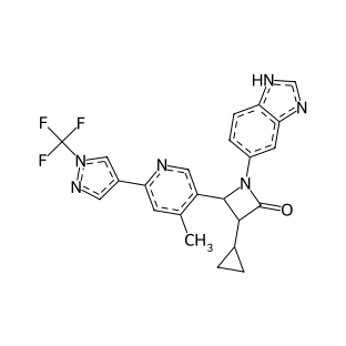 Cc1cc(-c2cnn(C(F)(F)F)c2)ncc1C1C(C2CC2)C(=O)N1c1ccc2[nH]cnc2c1